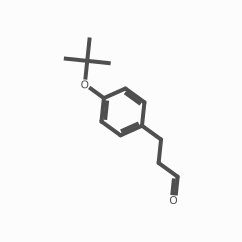 CC(C)(C)Oc1ccc(CCC=O)cc1